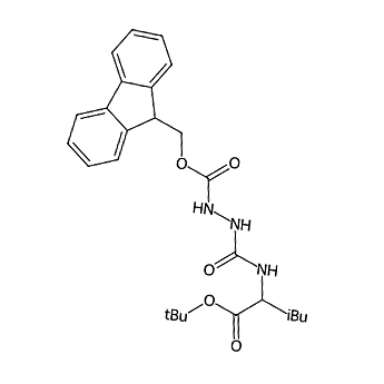 CCC(C)C(NC(=O)NNC(=O)OCC1c2ccccc2-c2ccccc21)C(=O)OC(C)(C)C